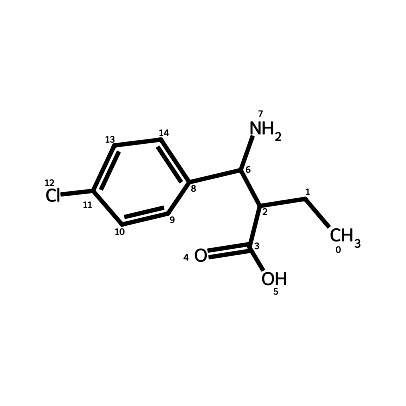 CCC(C(=O)O)C(N)c1ccc(Cl)cc1